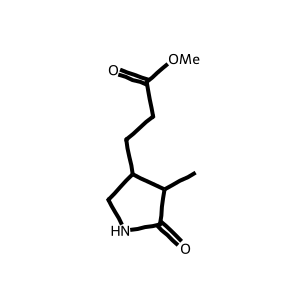 COC(=O)CCC1CNC(=O)C1C